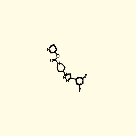 O=C(Oc1cccnc1)N1CCC(n2cc(-c3cc(F)cc(F)c3)nn2)CC1